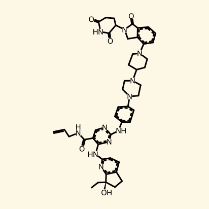 C=CCNC(=O)c1cnc(Nc2ccc(N3CCN(C4CCN(c5cccc6c5CN(C5CCC(=O)NC5=O)C6=O)CC4)CC3)cc2)nc1Nc1ccc2c(n1)[C@@](O)(CC)CC2